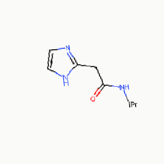 CC(C)NC(=O)Cc1n[c]c[nH]1